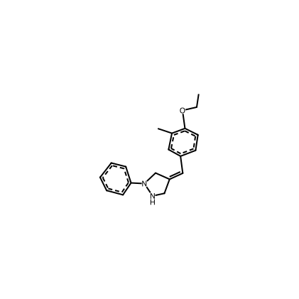 CCOc1ccc(/C=C2/CNN(c3ccccc3)C2)cc1C